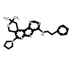 CC1(C)Cc2c(c(N3CCCC3)nc3sc4c(NCCc5ccccc5)ncnc4c23)CO1